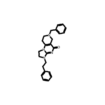 O=c1nc2n(c3c1CN(Cc1ccccc1)CC3)CCN2CCc1ccccc1